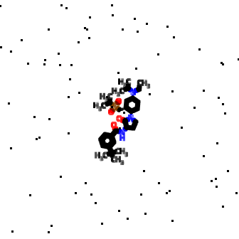 CCN(C(C)C)[C@@H]1CC[C@H](N2CCC(NC(=O)c3cccc(C(C)(C)C)c3)C2=O)[C@H](CS(=O)(=O)C(C)C)C1